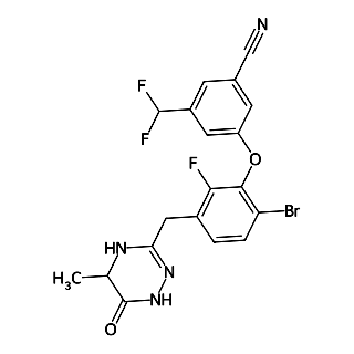 CC1NC(Cc2ccc(Br)c(Oc3cc(C#N)cc(C(F)F)c3)c2F)=NNC1=O